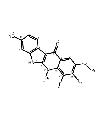 CC(C)Oc1cc2c(=O)c3c4ccc(C#N)cc4[nH]c3n(C(C)C)c2c(F)c1I